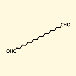 O=[C]C=CCCCCCCCCCCCCCCC=O